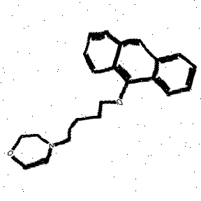 c1ccc2c(OCCCCN3CCOCC3)c3ccccc3cc2c1